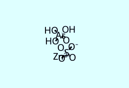 O=S(=O)([O-])[O-].O=[As](O)(O)O.[Zn+2]